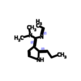 C\C=N/C(=c1/cc[nH]/c1=C\CC)N(C)C